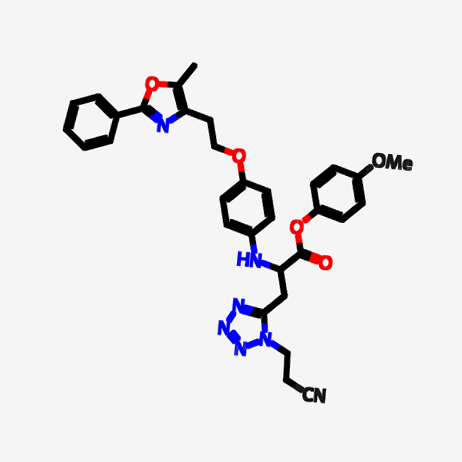 COc1ccc(OC(=O)C(Cc2nnnn2CCC#N)Nc2ccc(OCCc3nc(-c4ccccc4)oc3C)cc2)cc1